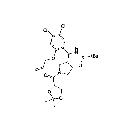 C=CCOc1cc(Cl)c(Cl)cc1C(N[S+]([O-])C(C)(C)C)[C@H]1CCN(C(=O)[C@H]2COC(C)(C)O2)C1